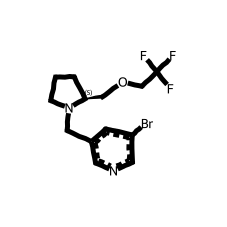 FC(F)(F)COC[C@@H]1CCCN1Cc1cncc(Br)c1